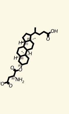 CC(CCC(=O)O)C1CC[C@H]2C3CC[C@@H]4C[C@H](OC(=O)[C@H](N)CC(=O)O)CC[C@]4(C)[C@@H]3CC[C@]12C